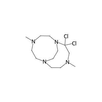 CN1CCN2CCN(C)CC(Cl)(Cl)N(CC1)CC2